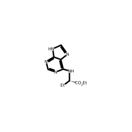 CCOC(=O)[C@H](CC)Nc1ncnc2[nH]cnc12